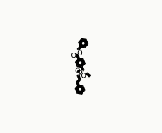 CCOP(=O)(CCCc1ccccc1)Cc1ccc(C(=O)OCc2ccccc2)cc1